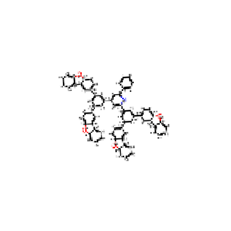 c1ccc(-c2cc(-c3cc(-c4ccc5oc6ccccc6c5c4)cc(-c4ccc5oc6ccccc6c5c4)c3)cc(-c3cc(-c4ccc5oc6ccccc6c5c4)cc(-c4ccc5oc6ccccc6c5c4)c3)n2)cc1